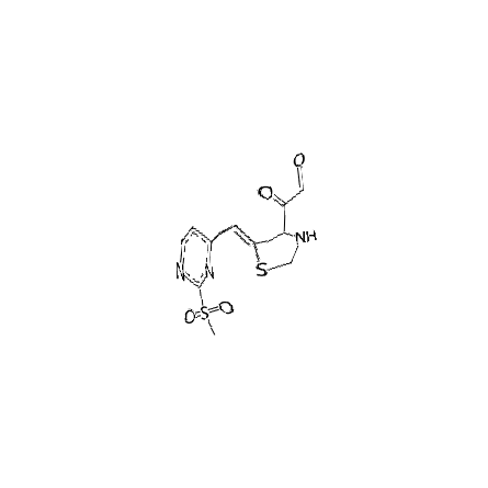 CS(=O)(=O)c1nccc(/C=C2\SCNC2C(=O)C=O)n1